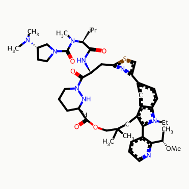 CCn1c(-c2cccnc2[C@H](C)OC)c2c3cc(ccc31)-c1csc(n1)C[C@H](NC(=O)[C@H](C(C)C)N(C)C(=O)N1CC[C@H](N(C)C)C1)C(=O)N1CCC[C@H](N1)C(=O)OCC(C)(C)C2